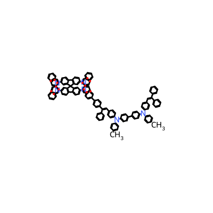 Cc1ccc(N(c2ccc(C=C(c3ccccc3)c3ccccc3)cc2)c2ccc(-c3ccc(N(c4ccc(C)cc4)c4ccc(/C=C(\c5ccccc5)c5ccc(-c6ccc(N(c7ccccc7)c7ccc8c(c7)C7(c9cc(N(c%10ccccc%10)c%10ccccc%10)ccc9-c9ccc(N(c%10ccccc%10)c%10ccccc%10)cc97)c7cc(N(c9ccccc9)c9ccccc9)ccc7-8)cc6)cc5)cc4)cc3)cc2)cc1